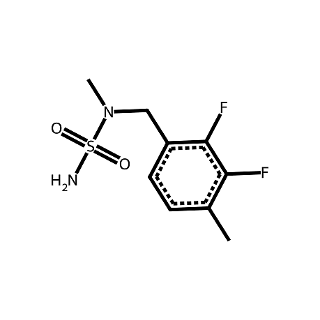 Cc1ccc(CN(C)S(N)(=O)=O)c(F)c1F